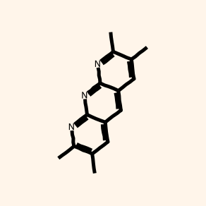 Cc1cc2cc3cc(C)c(C)nc3nc2nc1C